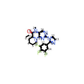 CC[C@@]12CCCCN1c1nc(-n3ccnc3-c3cc(F)c(F)c(F)c3)ncc1N(C)C2=O